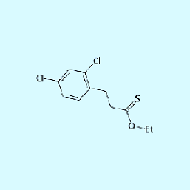 CCOC(=S)CCc1ccc(Cl)cc1Cl